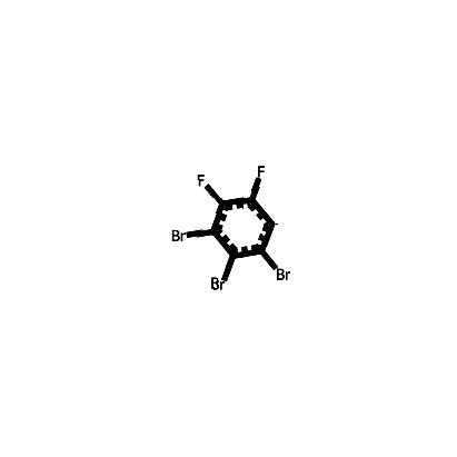 Fc1[c]c(Br)c(Br)c(Br)c1F